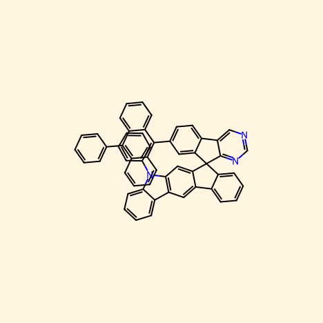 c1ccc(-c2c3ccccc3c(-c3ccc4c(c3)C3(c5ccccc5-c5cc6c7ccccc7n(-c7ccccc7)c6cc53)c3ncncc3-4)c3ccccc23)cc1